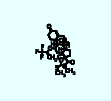 COC(=O)[C@@]1(OCSC)CC[C@H]2[C@@H]3CCC4=CC(=O)CC[C@]4(C)[C@H]3[C@@H](OC(=O)C(F)(F)F)C[C@@]21C